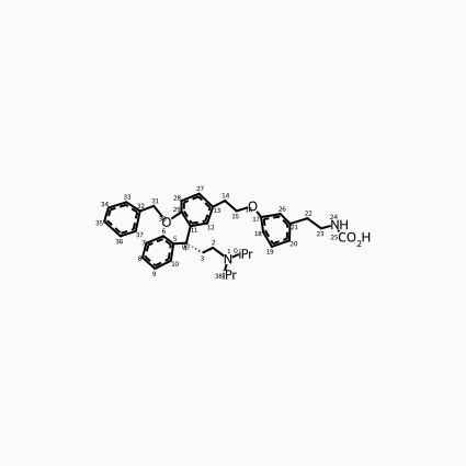 CC(C)N(CC[C@H](c1ccccc1)c1cc(CCOc2cccc(CCNC(=O)O)c2)ccc1OCc1ccccc1)C(C)C